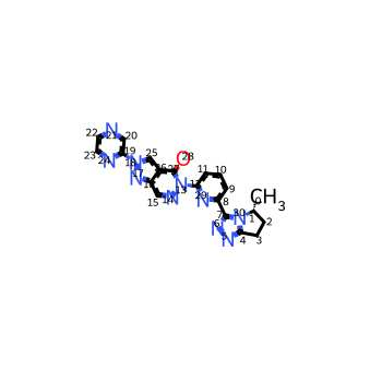 C[C@@H]1CCc2nnc(-c3cccc(-n4ncc5nn(-c6cnccn6)cc5c4=O)n3)n21